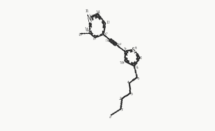 CCCCCCc1csc(C#Cc2ccnc(C)c2)c1